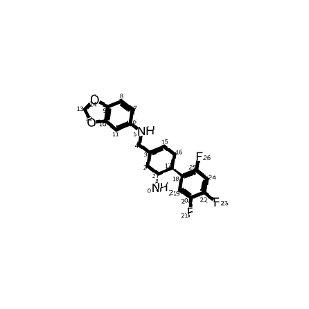 N[C@@H]1CC(CNc2ccc3c(c2)OCO3)=CC[C@H]1c1cc(F)c(F)cc1F